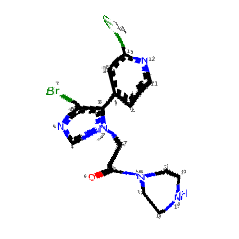 O=C(Cn1cnc(Br)c1-c1ccnc(F)c1)N1CCNCC1